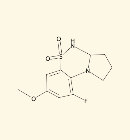 COc1cc(F)c2c(c1)S(=O)(=O)NC1CCCN21